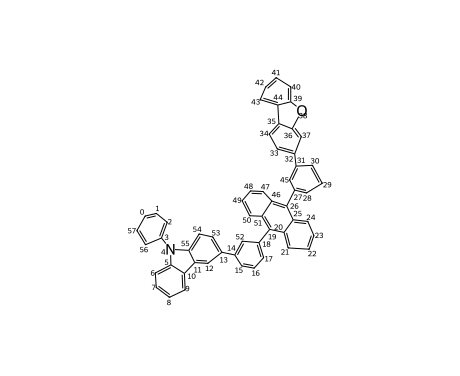 c1ccc(-n2c3ccccc3c3cc(-c4cccc(-c5c6ccccc6c(-c6cccc(-c7ccc8c(c7)oc7ccccc78)c6)c6ccccc56)c4)ccc32)cc1